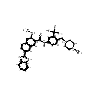 COc1cc2ccc(-c3nc4ccccc4s3)cc2cc1C(=O)Nc1ccc(CN2CCN(C)CC2)c(C(F)(F)F)c1